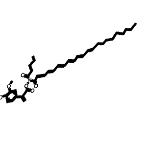 C=C(C(=O)ON(C(=O)C=CC=CC=CC=CC=CC=CCCCCCCCCC)C(=O)CCCC)c1ccc(O)c(OC)c1